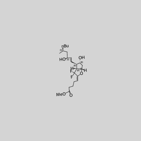 CCCC[C@H](C)C[C@H](O)C=C[C@@H]1[C@@H]2[C@H](C[C@H]1O)OC(=CCCCC(=O)OC)C2(F)F